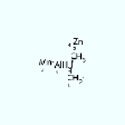 [AlH3].[CH2]C.[Mn].[Zn]